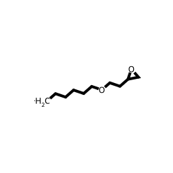 [CH2]CCCCCOCCC1CO1